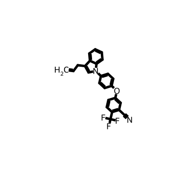 C=CCc1cn(-c2ccc(Oc3ccc(C(F)(F)F)c(C#N)c3)cc2)c2ccccc12